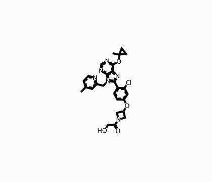 Cc1ccnc(Cn2c(-c3ccc(OC4CN(C(=O)CO)C4)cc3Cl)nc3c(OC4(C)CC4)ncnc32)c1